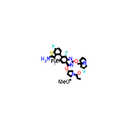 C=CC(=O)N1C[C@H](Oc2nc(OCC34CCCN3C[C@H](F)C4)nc3c(F)c(-c4ccc(F)c5sc(N)c(C#N)c45)c(C(F)(F)F)cc23)C[C@H]1COC